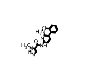 Cn1nncc1C(=O)Nc1ccc(-c2ccccc2Cl)c(N)n1